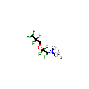 FC(F)C(F)(F)COC(F)(F)C(F)N(C(F)(F)F)C(F)(F)F